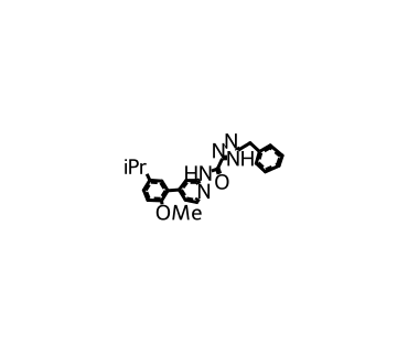 COc1ccc(C(C)C)cc1-c1ccnc(NC(=O)c2nnc(Cc3ccccc3)[nH]2)c1